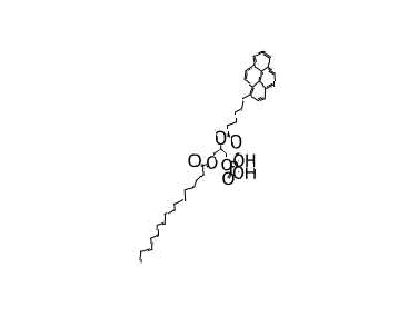 CCCCCCCCCCCCCCCC(=O)OC[C@H](COP(=O)(O)O)OC(=O)CCCCCc1ccc2ccc3cccc4ccc1c2c34